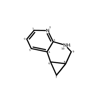 c1cnc2c(c1)C1CC1CN2